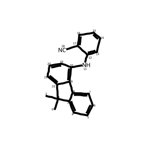 CC1(C)c2ccccc2-c2c(Nc3ccccc3C#N)cccc21